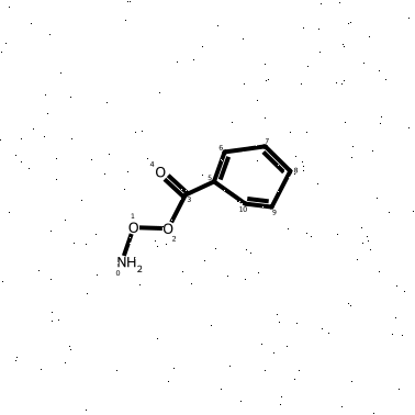 NOOC(=O)c1ccccc1